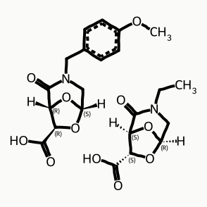 CCN1C[C@H]2O[C@H](C(=O)O)[C@H](O2)C1=O.COc1ccc(CN2C[C@@H]3O[C@@H](C(=O)O)[C@@H](O3)C2=O)cc1